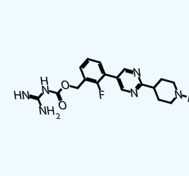 CC(=O)N1CCC(c2ncc(-c3cccc(COC(=O)NC(=N)N)c3F)cn2)CC1